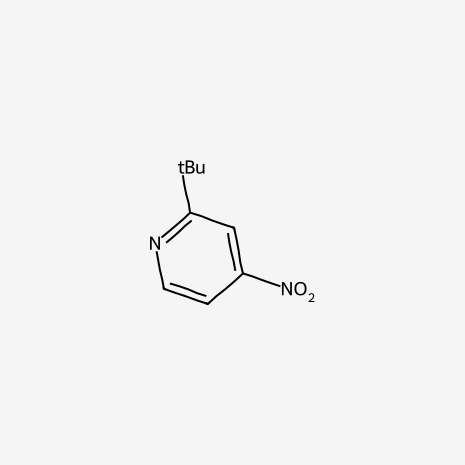 CC(C)(C)c1cc([N+](=O)[O-])ccn1